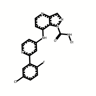 CCNC(=O)n1ncc2nccc(Nc3ccnc(-c4cc(Cl)ccc4F)c3)c21